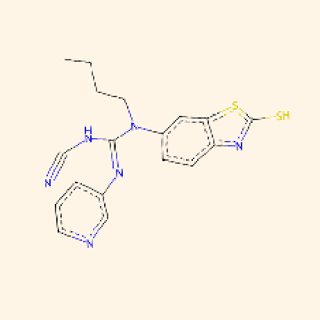 CCCCN(C(=Nc1cccnc1)NC#N)c1ccc2nc(S)sc2c1